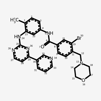 Cc1ccc(NC(=O)c2ccc(CN3CCOCC3)c(Br)c2)cc1Nc1nccc(-c2cccnc2)n1